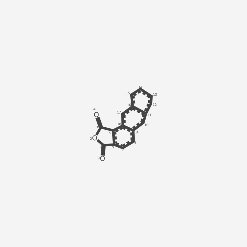 O=C1OC(=O)c2c1ccc1cc3ccccc3cc21